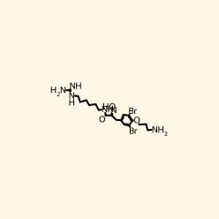 N=C(N)NCCCCCCNC(=O)C(Cc1cc(Br)c(OCCCN)c(Br)c1)=NO